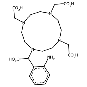 Nc1ccccc1C(C(=O)O)N1CCN(CC(=O)O)CCN(CC(=O)O)CCN(CC(=O)O)CC1